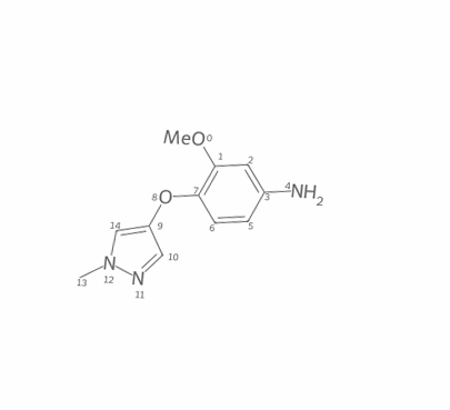 COc1cc(N)ccc1Oc1cnn(C)c1